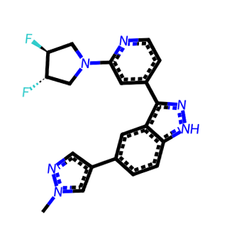 Cn1cc(-c2ccc3[nH]nc(-c4ccnc(N5C[C@H](F)[C@@H](F)C5)c4)c3c2)cn1